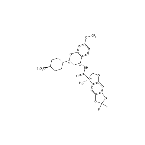 CCOC(=O)[C@H]1CC[C@H]([C@H]2C[C@@H](NC(=O)[C@@]3(C)COc4cc5c(cc43)OC(F)(F)O5)c3ccc(OC(F)(F)F)cc3O2)CC1